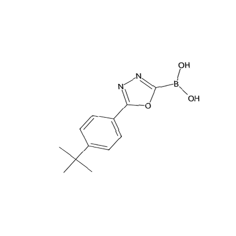 CC(C)(C)c1ccc(-c2nnc(B(O)O)o2)cc1